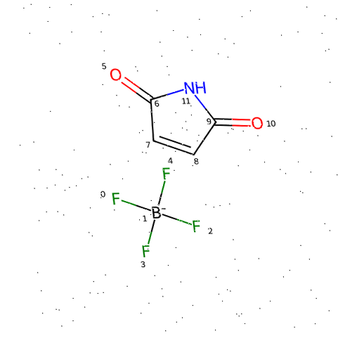 F[B-](F)(F)F.O=C1C=CC(=O)N1